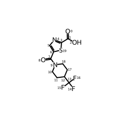 O=C(O)c1ncc(C(=O)N2CCC(C(F)(F)F)CC2)s1